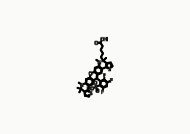 CN1c2cc3c(cc2-c2sccc2C1(C)C)C(c1c(F)c(F)cc(F)c1S(=O)(=O)O)=c1cc2c(cc1O3)=[N+](C)C(C)(CCCCC(=O)O)c1ccsc1-2